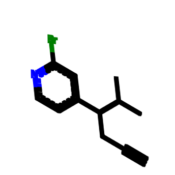 C#CCC(c1ccnc(Br)c1)C(C)C